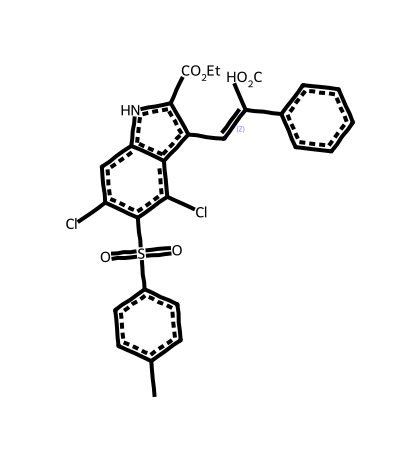 CCOC(=O)c1[nH]c2cc(Cl)c(S(=O)(=O)c3ccc(C)cc3)c(Cl)c2c1/C=C(\C(=O)O)c1ccccc1